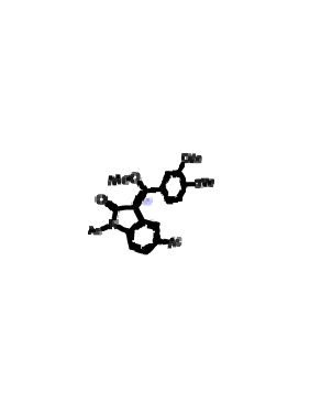 CO/C(=C1\C(=O)N(C(C)=O)c2ccc(C(C)=O)cc21)c1ccc(OC)c(OC)c1